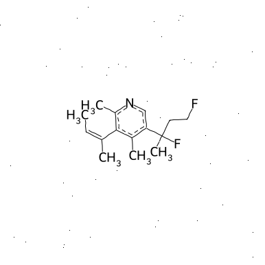 C/C=C(/C)c1c(C)ncc(C(C)(F)CCF)c1C